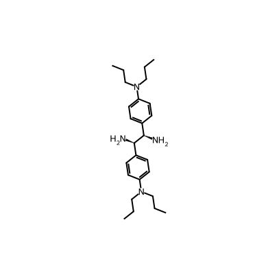 CCCN(CCC)c1ccc([C@@H](N)[C@H](N)c2ccc(N(CCC)CCC)cc2)cc1